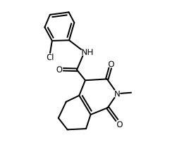 CN1C(=O)C2=C(CCCC2)C(C(=O)Nc2ccccc2Cl)C1=O